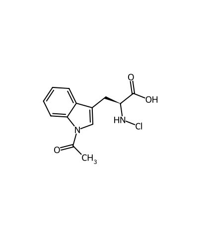 CC(=O)n1cc(C[C@H](NCl)C(=O)O)c2ccccc21